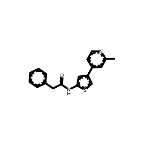 Cc1cc(-c2csc(NC(=O)Cc3ccccc3)c2)ccn1